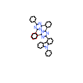 c1ccc(-c2nc(-c3ccccc3)nc(-c3ccccc3-c3nc(-c4ccccc4)nc(-c4cccc5c4c4ccccc4n5-c4ccccc4)n3)n2)cc1